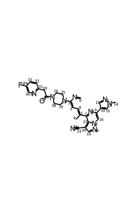 C=N/C(=C\C=C(/C)c1nc(-c2cnn(C)c2)cn2ncc(C#N)c12)N1CCN(C(=O)Cc2ccc(F)cn2)CC1